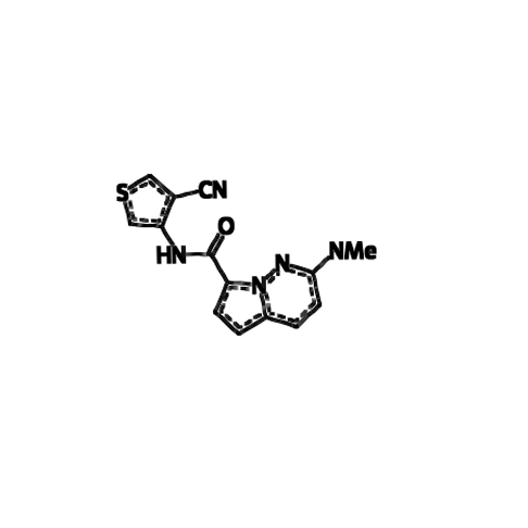 CNc1ccc2ccc(C(=O)Nc3cscc3C#N)n2n1